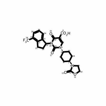 O=C(O)c1cn([C@H]2CC[C@H](N3CCOC3=O)CC2)c(=O)n(C2CCc3c2cccc3C(F)(F)F)c1=O